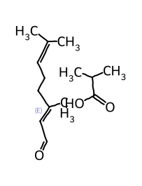 CC(C)=CCC/C(C)=C/C=O.CC(C)C(=O)O